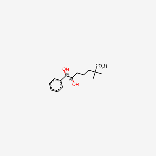 CC(C)(CCC[C@@H](O)[C@H](O)c1ccccc1)C(=O)O